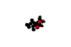 CC(C)(C)c1cc(-c2ccccc2)c(N2c3cc(-n4c5ccc(C(C)(C)C)cc5c5cc(C(C)(C)C)ccc54)ccc3B3c4ccc(N(c5ccccc5)c5ccc(-n6c7ccccc7c7ccccc76)cc5)cc4N(c4cccc(-c5ccccc5)c4)c4cc(C(C)(C)C)cc2c43)c(-c2ccccc2)c1